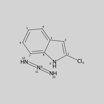 Clc1cc2ccccc2[nH]1.N=[N+]=N